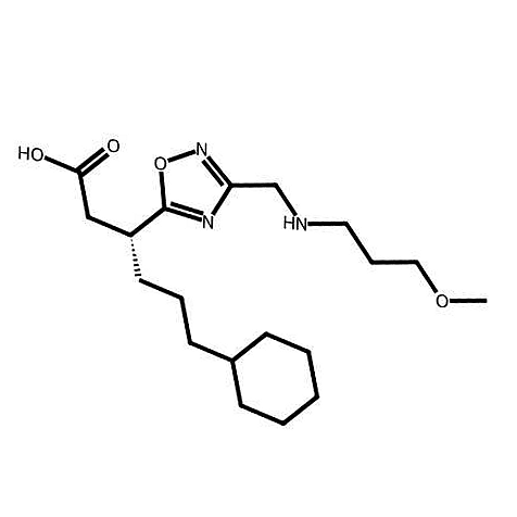 COCCCNCc1noc([C@H](CCCC2CCCCC2)CC(=O)O)n1